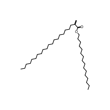 C=C(CCCCCCCCCCCCCCCCCCC)C(=O)OCCCCCCCCCCCCCCCC